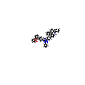 c1ccc(-c2nc(-c3ccc(-c4ccc5nc(-c6ccccc6)c6cccc(-c7ccccc7)c6c5c4)cc3)nc(-c3ccc(-c4cccc5c4oc4ccccc45)cc3)n2)cc1